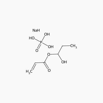 C=CC(=O)OC(O)CC.O=P(O)(O)O.[NaH]